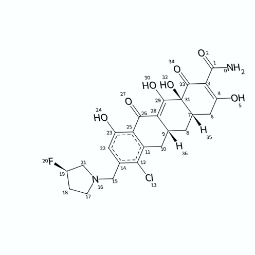 NC(=O)C1=C(O)C[C@@H]2C[C@@H]3Cc4c(Cl)c(CN5CC[C@@H](F)C5)cc(O)c4C(=O)C3=C(O)[C@]2(O)C1=O